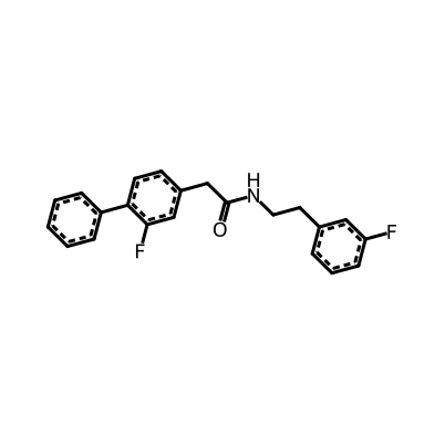 O=C(Cc1ccc(-c2ccccc2)c(F)c1)NCCc1cccc(F)c1